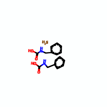 O=C(O)NCc1ccccc1.O=C(O)NCc1ccccc1.S